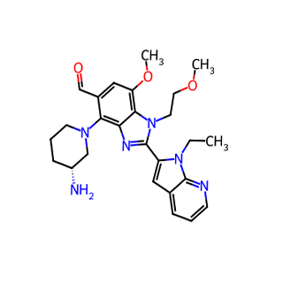 CCn1c(-c2nc3c(N4CCC[C@@H](N)C4)c(C=O)cc(OC)c3n2CCOC)cc2cccnc21